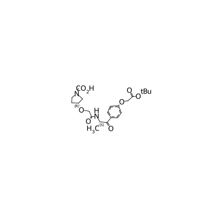 C[C@H](NC(=O)CO[C@@H]1CCN(C(=O)O)C1)C(=O)c1ccc(OCC(=O)OC(C)(C)C)cc1